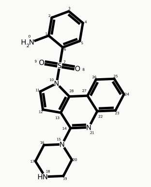 Nc1ccccc1S(=O)(=O)n1ccc2c(N3CCNCC3)nc3ccccc3c21